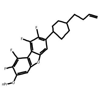 C=CCCC1CCC(c2cc3oc4cc(OCCC)c(F)c(F)c4c3c(F)c2F)CC1